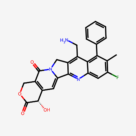 Cc1c(F)cc2nc3c(c(CN)c2c1-c1ccccc1)Cn1c-3cc2c(c1=O)COC(=O)[C@H]2O